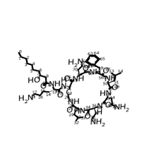 CCCCCCC[C@@H](O)CC(=O)N[C@@H](CCCCN)C(=O)N[C@H]1CCNC(=O)[C@H](CC(C)C)NC(=O)[C@H](CCN)NC(=O)[C@H](CCN)NC(=O)[C@H](CC(C)C)NC(=O)[C@@H](Cc2ccccc2)NC(=O)[C@H](CCN)NC1=O